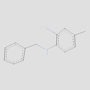 Cc1ccc(NCc2ccccc2)c(N)c1